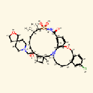 C[C@@H]1[C@@H](C)CCC[C@@](O)(CN2CCC3(CCOC3)CC2)[C@@H]2CC[C@H]2CN2CCCCc3cc(Cl)ccc3COc3ccc(cc32)C(=O)NS1(=O)=O